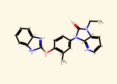 CCn1c(=O)n(-c2ccc(Oc3nc4ccccc4[nH]3)c(C)c2)c2ncccc21